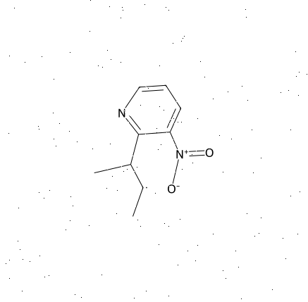 C[CH]C(C)c1ncccc1[N+](=O)[O-]